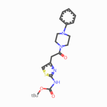 CC(C)(C)OC(=O)Nc1nc(CC(=O)N2CCN(c3ccccc3)CC2)cs1